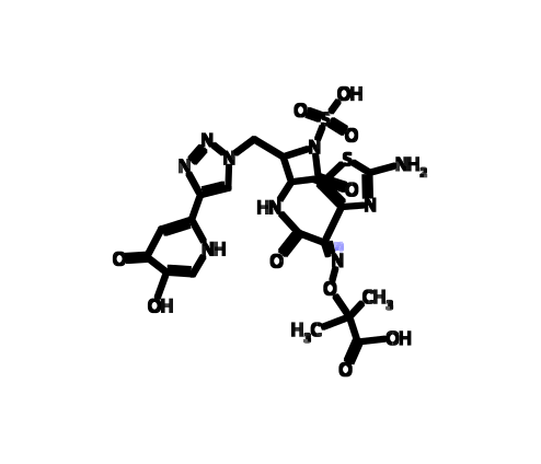 CC(C)(O/N=C(\C(=O)NC1C(=O)N(S(=O)(=O)O)C1Cn1cc(-c2cc(=O)c(O)c[nH]2)nn1)c1csc(N)n1)C(=O)O